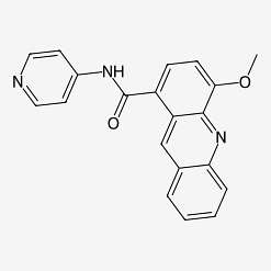 COc1ccc(C(=O)Nc2ccncc2)c2cc3ccccc3nc12